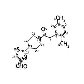 Cc1ccc(C)c(CC(=O)N2CCC(c3nc(C=O)cs3)CC2)c1